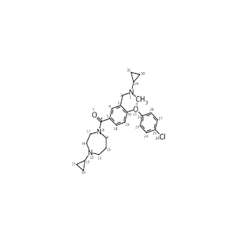 CN(Cc1cc(C(=O)N2CCCN(C3CC3)CC2)ccc1Oc1ccc(Cl)cc1)C1CC1